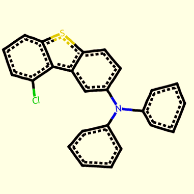 Clc1cccc2sc3ccc(N(c4ccccc4)c4ccccc4)cc3c12